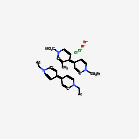 CC(=O)CN1[C+]=CC(=C2C=[C+]N(CC(C)=O)C=C2)C=C1.CCOC(=O)N1[C+]=CC(=C2C=CN(C(=O)OCC)[C+]=C2C)C=C1.[Br-].[Br-].[Cl-].[Cl-]